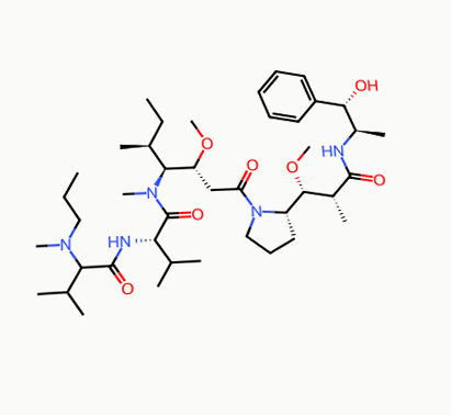 CCCN(C)C(C(=O)N[C@H](C(=O)N(C)[C@@H]([C@@H](C)CC)[C@@H](CC(=O)N1CCC[C@H]1[C@H](OC)[C@@H](C)C(=O)N[C@H](C)[C@@H](O)c1ccccc1)OC)C(C)C)C(C)C